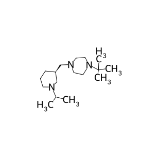 CC(C)N1CCC[C@@H](CN2CCN(C(C)(C)C)CC2)C1